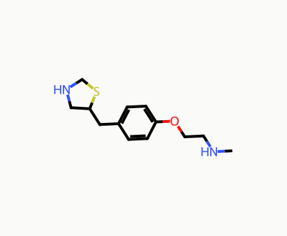 CNCCOc1ccc(CC2CNCS2)cc1